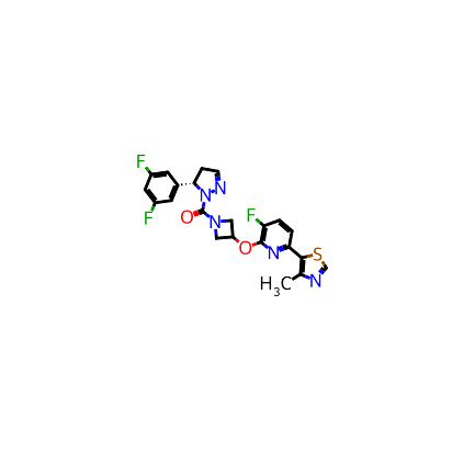 Cc1ncsc1-c1ccc(F)c(OC2CN(C(=O)N3N=CC[C@H]3c3cc(F)cc(F)c3)C2)n1